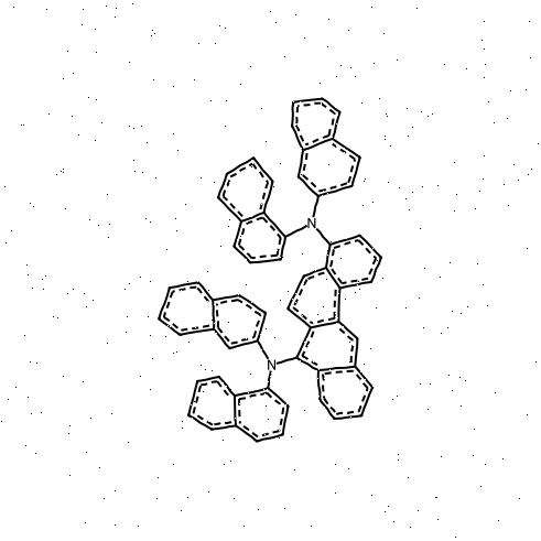 c1ccc2cc(N(c3cccc4ccccc34)c3cccc4c3ccc3c(N(c5ccc6ccccc6c5)c5cccc6ccccc56)c5ccccc5cc34)ccc2c1